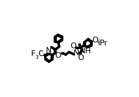 CC(C)Oc1ccc(C2(C)NC(=O)N(CCCCOc3c(Cc4ccccc4)cnc4c(C(F)(F)F)cccc34)C2=O)cc1